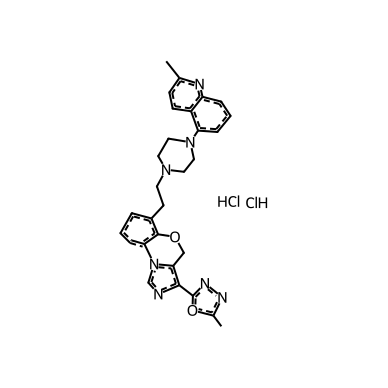 Cc1ccc2c(N3CCN(CCc4cccc5c4OCc4c(-c6nnc(C)o6)ncn4-5)CC3)cccc2n1.Cl.Cl